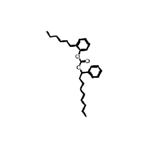 CCCCCCCCC(OC(=O)Oc1ccccc1CCCCCC)c1ccccc1